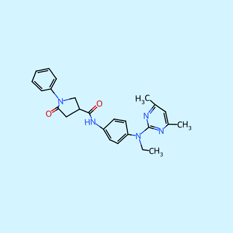 CCN(c1ccc(NC(=O)C2CC(=O)N(c3ccccc3)C2)cc1)c1nc(C)cc(C)n1